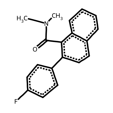 CN(C)C(=O)c1c(-c2ccc(F)cc2)ccc2ccccc12